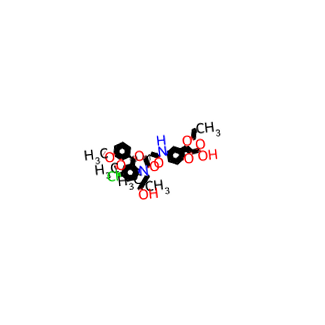 CCCOc1c(C(=O)O)oc2ccc(NC(=O)C[C@H]3O[C@H](c4cccc(OC)c4OC)c4cc(Cl)ccc4N(CC(C)(C)CO)C3=O)cc12